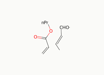 CC=C[C]=O.[CH2]CCOC(=O)C=C